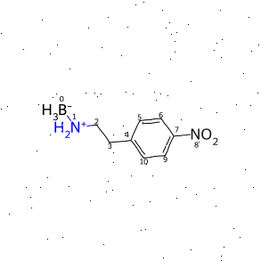 [BH3-][NH2+]CCc1ccc([N+](=O)[O-])cc1